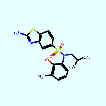 [CH2]c1cccc(N(CC(C)C)S(=O)(=O)c2ccc3sc(N)nc3c2)c1O